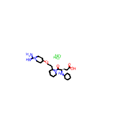 Cl.Cl.N=C(N)N1CCC(OCCC2CCCCN2C(=O)[C@H](CCC(=O)O)NC2CCCCC2)CC1